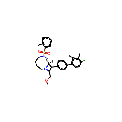 COCC1C(c2ccc(-c3ccc(F)c(C)c3C)cc2)[C@@H]2CN(S(=O)(=O)c3ccccc3C)CCCCN12